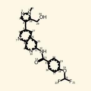 Cn1ncc(-c2cnc3cnc(NC(=O)c4ccc(OC(F)F)cc4)cc3c2)c1CO